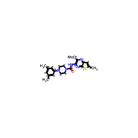 COc1nc2cc(C)sc2nc1NC(=O)N1CCN(c2cc(C)cc(C)c2)CC1